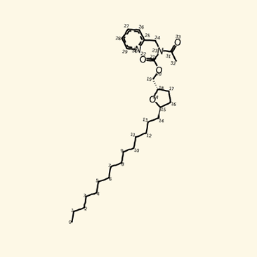 CCCCCCCCCCCCCCC[C@@H]1CC[C@@H](COC(=O)N(Cc2ccccn2)C(C)=O)O1